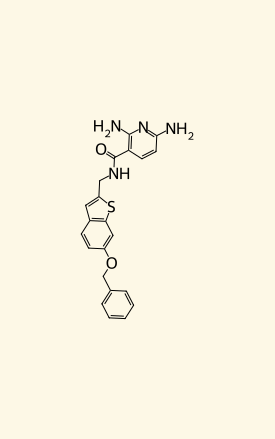 Nc1ccc(C(=O)NCc2cc3ccc(OCc4ccccc4)cc3s2)c(N)n1